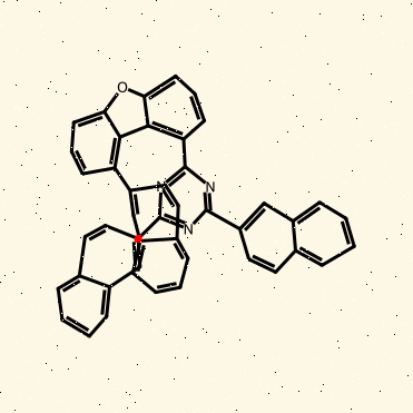 c1ccc2cc(-c3nc(-c4ccc5ccccc5c4)nc(-c4cccc5oc6cccc(-c7ccc8ccccc8c7)c6c45)n3)ccc2c1